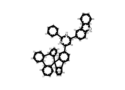 c1ccc(-c2nc(-c3ccc4c(c3)C3(c5ccccc5-c5ccccc5-c5ccccc53)c3ccccc3-4)cc(-c3ccc4oc5ccccc5c4c3)n2)cc1